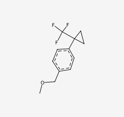 COCc1ccc(C2(C(F)(F)F)CC2)cc1